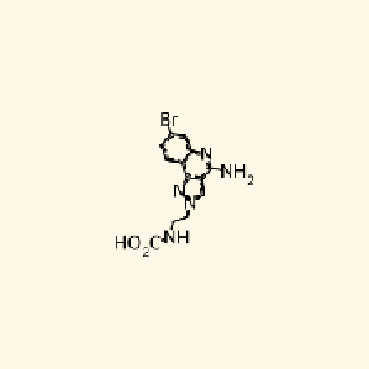 Nc1nc2cc(Br)ccc2c2nn(CCNC(=O)O)cc12